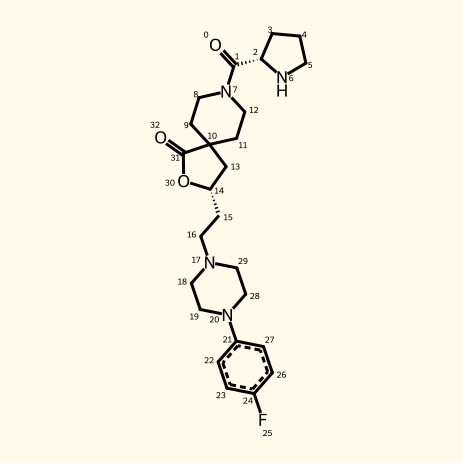 O=C([C@@H]1CCCN1)N1CCC2(CC1)C[C@H](CCN1CCN(c3ccc(F)cc3)CC1)OC2=O